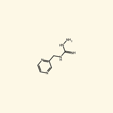 N=C(NN)NCc1cnccn1